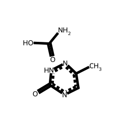 Cc1cnc(=O)[nH]n1.NC(=O)O